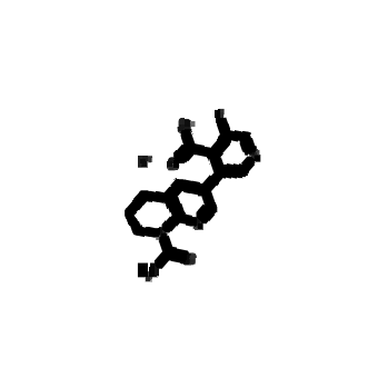 NC(=O)N1CCCc2cc(-c3cncc(F)c3C(=O)[O-])cnc21.[K+]